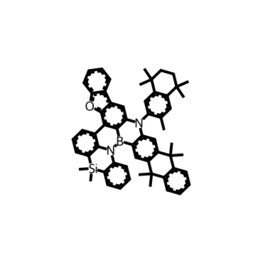 Cc1cc2c(cc1N1c3cc4c(cc3B3c5c1cc1c(oc6ccccc61)c5-c1cccc5c1N3c1ccccc1[Si]5(C)C)C(C)(C)c1ccccc1C4(C)C)C(C)(C)CCC2(C)C